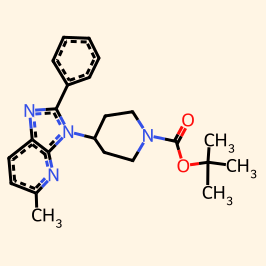 Cc1ccc2nc(-c3ccccc3)n(C3CCN(C(=O)OC(C)(C)C)CC3)c2n1